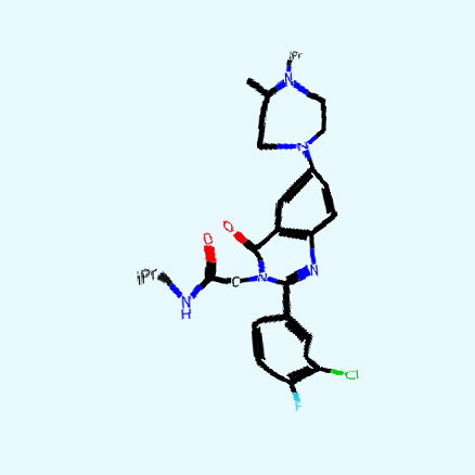 CC(C)NC(=O)Cn1c(-c2ccc(F)c(Cl)c2)nc2ccc(N3CCN(C(C)C)C(C)C3)cc2c1=O